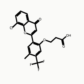 Cc1cc(-c2cc(=O)c3cccc(Cl)c3o2)c(OCCC(=O)O)cc1C(F)(F)F